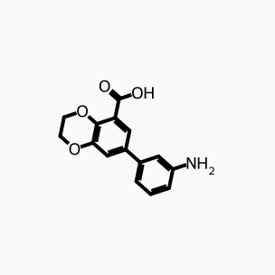 Nc1cccc(-c2cc3c(c(C(=O)O)c2)OCCO3)c1